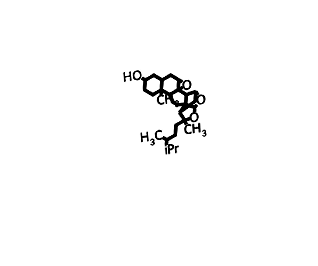 CC(C)C(C)CCC1(C)OC2OC3CC1C21CCC2C4(C)CCC(O)CC4CC4OC42C31